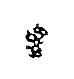 Cc1ccc(-c2c(C(C)Nc3ncnc4[nH]cnc34)nc3scc(C)n3c2=O)cc1